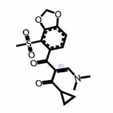 CN(C)/C=C(/C(=O)c1ccc2c(c1S(C)(=O)=O)OCO2)C(=O)C1CC1